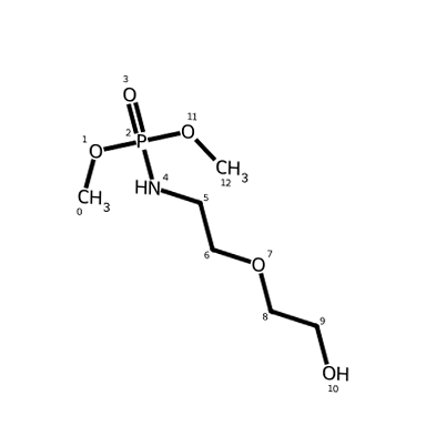 COP(=O)(NCCOCCO)OC